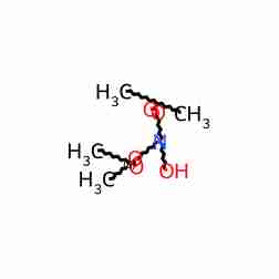 CCCCCCCCC(CCCCCC)C(=O)OCCCCCCN(CCCCCCO)CCCCCCOC(=O)[C@@H](CCCCCC)CCCCCCCC